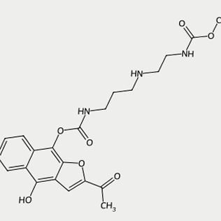 COC(=O)NCCNCCCNC(=O)Oc1c2ccccc2c(O)c2cc(C(C)=O)oc12